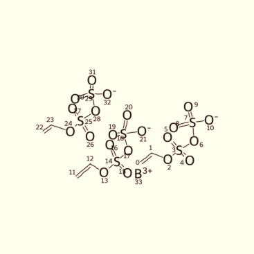 C=COS(=O)(=O)OS(=O)(=O)[O-].C=COS(=O)(=O)OS(=O)(=O)[O-].C=COS(=O)(=O)OS(=O)(=O)[O-].[B+3]